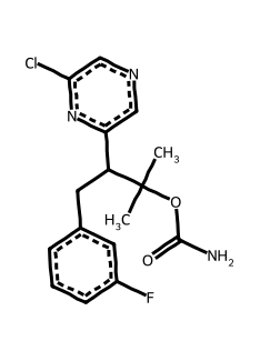 CC(C)(OC(N)=O)C(Cc1cccc(F)c1)c1cncc(Cl)n1